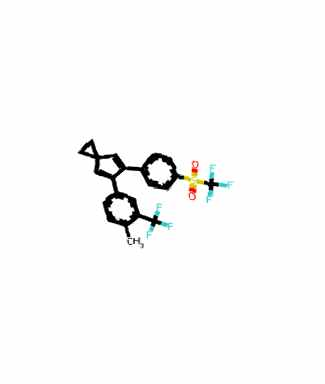 Cc1ccc(C2=CC3(C=C2c2ccc(S(=O)(=O)C(F)(F)F)cc2)CC3)cc1C(F)(F)F